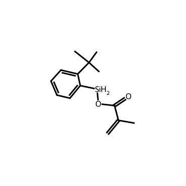 C=C(C)C(=O)O[SiH2]c1ccccc1C(C)(C)C